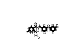 Cc1ccc(C(=O)NCc2cccc(Oc3cccc(F)c3)c2)c(N)n1